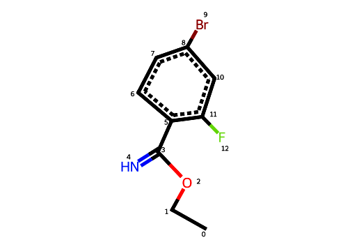 CCOC(=N)c1ccc(Br)cc1F